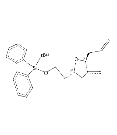 C=CC[C@@H]1O[C@@H](CCO[Si](c2ccccc2)(c2ccccc2)C(C)(C)C)CC1=C